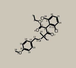 CCOC(=O)C(C(=O)C(C)(C)SCc1ccc(OC)cc1)c1c(Cl)cccc1Cl